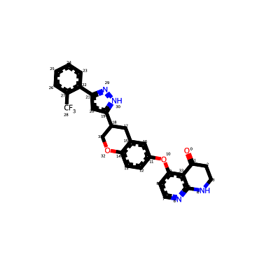 O=C1CCNc2nccc(Oc3ccc4c(c3)CC(c3cc(-c5ccccc5C(F)(F)F)n[nH]3)CO4)c21